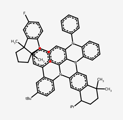 CC(C)C1CCC(C)(C)c2cc3c(cc21)N(c1ccc(C(C)(C)C)cc1-c1ccccc1)c1cc(N2c4ccc(F)cc4C4(C)CCCC24C)cc2c1B3c1ccccc1N2c1ccccc1